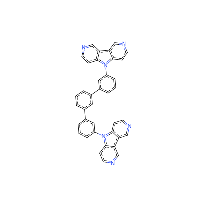 c1cc(-c2cccc(-n3c4ccncc4c4cnccc43)c2)cc(-c2cccc(-n3c4ccncc4c4cnccc43)c2)c1